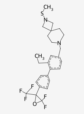 CCc1cc(CN2CCC3(CC2)CN(SC)C3)ccc1-c1ccc(C2(C(F)(F)F)OC2(F)F)cc1